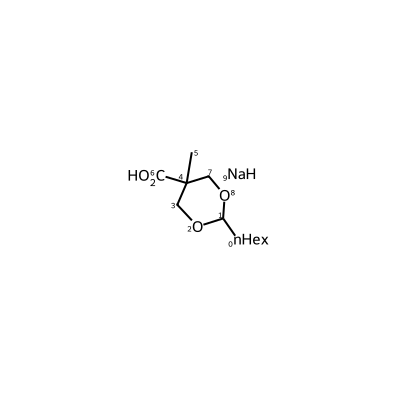 CCCCCCC1OCC(C)(C(=O)O)CO1.[NaH]